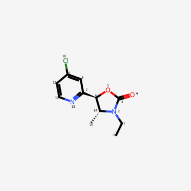 CCN1C(=O)O[C@H](c2cc(Cl)ccn2)[C@H]1C